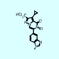 CCn1c(-c2ccc3c(c2)ncn3C)cn2nc(C(=O)O)c(C3CC3)c2c1=O